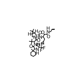 C=CCNC(=O)C(=O)C(CC1CC1)NC(=O)[C@@H]1[C@@H]2[C@H](CN1C(=O)[C@@H](NC(=O)[C@@H](NC(=O)C(F)(F)F)C1(C)CCCCC1)C(C)(C)C)C2(C)C